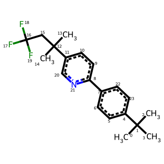 CC(C)(C)c1ccc(-c2ccc(C(C)(C)CC(F)(F)F)cn2)cc1